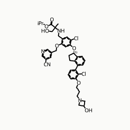 CC(C)OC(=O)C(C)(CO)NCc1cc(Cl)c(O[C@H]2CCc3c(-c4cccc(OCCCN5CC(O)C5)c4Cl)cccc32)cc1OCc1cncc(C#N)c1